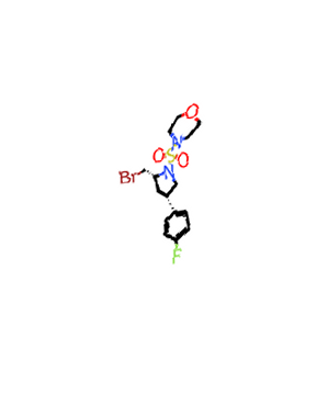 O=S(=O)(N1CCOCC1)N1C[C@H](c2ccc(F)cc2)C[C@@H]1CBr